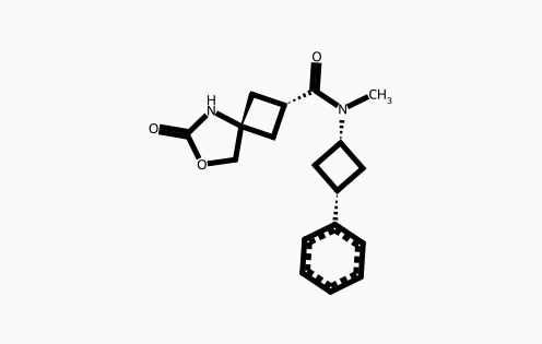 CN(C(=O)[C@H]1C[C@]2(COC(=O)N2)C1)[C@H]1C[C@@H](c2ccccc2)C1